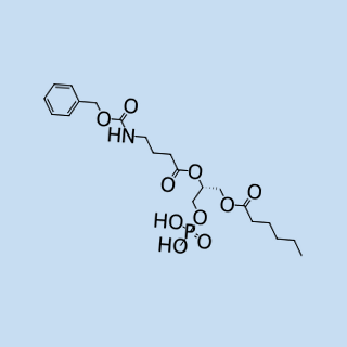 CCCCCC(=O)OC[C@H](COP(=O)(O)O)OC(=O)CCCNC(=O)OCc1ccccc1